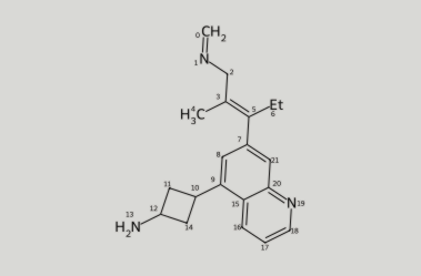 C=NC/C(C)=C(\CC)c1cc(C2CC(N)C2)c2cccnc2c1